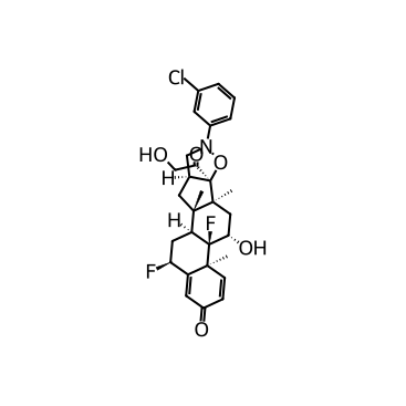 C[C@]12C[C@H](O)[C@@]3(F)[C@@H](C[C@H](F)C4=CC(=O)C=C[C@@]43C)[C@]1(C)C[C@H]1CN(c3cccc(Cl)c3)O[C@]12C(=O)CO